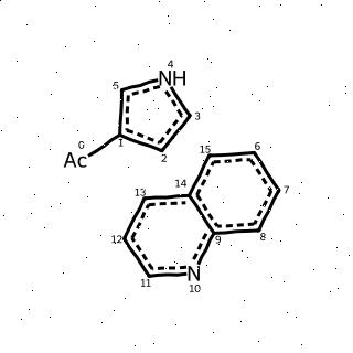 CC(=O)c1cc[nH]c1.c1ccc2ncccc2c1